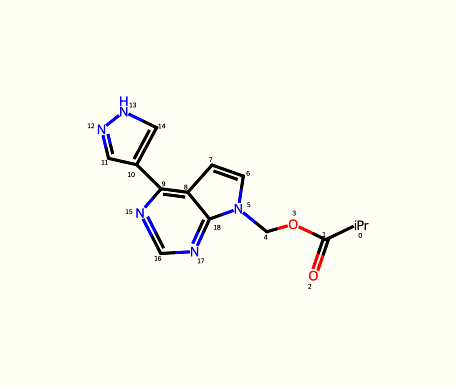 CC(C)C(=O)OCn1ccc2c(-c3cn[nH]c3)ncnc21